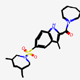 Cc1c(C(=O)N2CCCCCC2)[nH]c2ccc(S(=O)(=O)N3CC(C)CC(C)C3)cc12